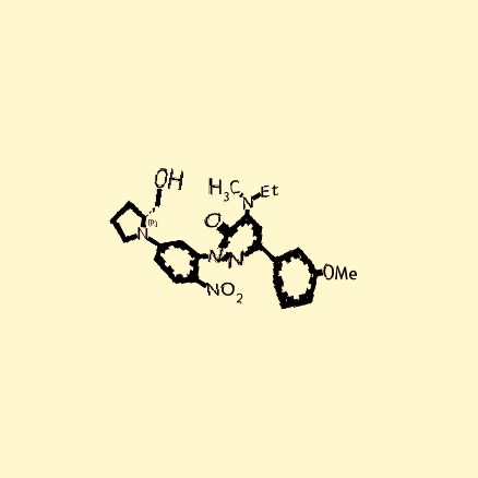 CCN(C)c1cc(-c2cccc(OC)c2)nn(-c2cc(N3CCC[C@@H]3CO)ccc2[N+](=O)[O-])c1=O